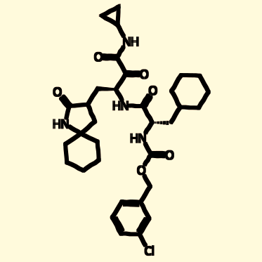 O=C(N[C@@H](CC1CCCCC1)C(=O)N[C@@H](CC1CC2(CCCCC2)NC1=O)C(=O)C(=O)NC1CC1)OCc1cccc(Cl)c1